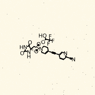 C[C@]1(CS(=O)(=O)N2CC=C(C#Cc3ccc(C#N)nc3)CC2)NC(=O)NC1=O.O=C(O)C(F)(F)F